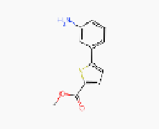 COC(=O)c1ccc(-c2cccc(N)c2)s1